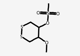 COC1CSSCC1OS(C)(=O)=O